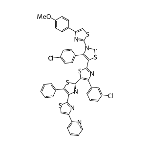 COc1ccc(-c2csc(N3[CH]SC(c4nc(-c5cccc(Cl)c5)c(-c5nc(-c6nc(-c7ccccn7)cs6)c(-c6ccccc6)s5)s4)=C3c3ccc(Cl)cc3)n2)cc1